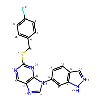 Fc1ccc(CSc2ncc3ncn(-c4ccc5cn[nH]c5c4)c3n2)cc1